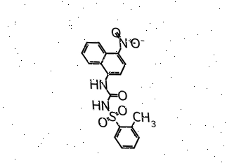 Cc1ccccc1S(=O)(=O)NC(=O)Nc1ccc([N+](=O)[O-])c2ccccc12